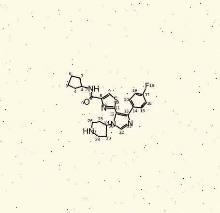 O=C(NC1CCCC1)c1csc(-c2c(-c3ccc(F)cc3)ncn2C2CCNCC2)n1